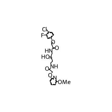 COc1cccc(OCC(=O)NCC[C@H](O)CNC(=O)COc2ccc(Cl)c(F)c2)n1